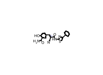 N#C/C(=C\c1ccc(O)c(C(N)=O)c1)C(=O)Nc1nc(-c2ccccc2)cs1